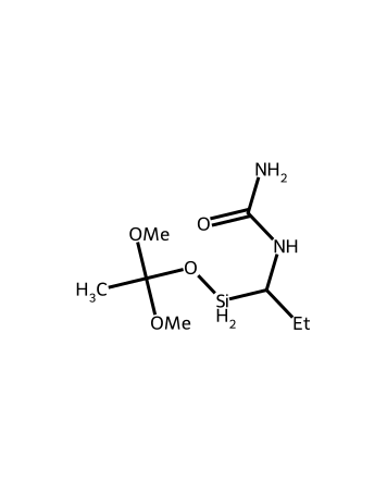 CCC(NC(N)=O)[SiH2]OC(C)(OC)OC